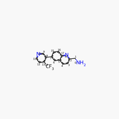 NCc1ccc2cc(-c3cnccc3C(F)(F)F)ccc2n1